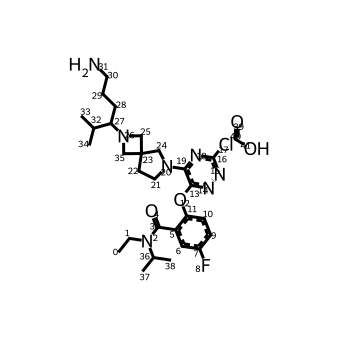 CCN(C(=O)c1cc(F)ccc1Oc1nnc(Cl)nc1N1CCC2(C1)CN(C(CCCN)C(C)C)C2)C(C)C.O=CO